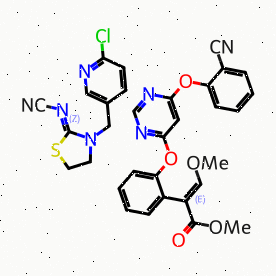 CO/C=C(/C(=O)OC)c1ccccc1Oc1cc(Oc2ccccc2C#N)ncn1.N#C/N=C1\SCCN1Cc1ccc(Cl)nc1